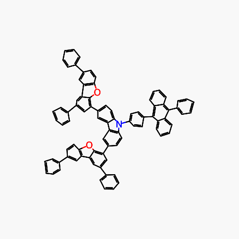 c1ccc(-c2ccc3oc4c(-c5ccc6c(c5)c5cc(-c7cc(-c8ccccc8)cc8c7oc7ccc(-c9ccccc9)cc78)ccc5n6-c5ccc(-c6c7ccccc7c(-c7ccccc7)c7ccccc67)cc5)cc(-c5ccccc5)cc4c3c2)cc1